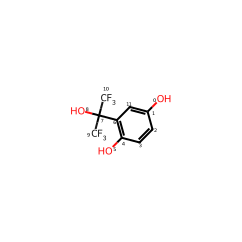 Oc1ccc(O)c(C(O)(C(F)(F)F)C(F)(F)F)c1